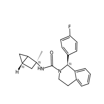 C[C@]1(NC(=O)N2CCc3ccccc3[C@@H]2c2ccc(F)cc2)C[C@@H]2CC21